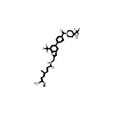 C=N\C(N)=C/C=C(C)/C=C/C(=O)NCc1cc2cc(-c3ccc(C(=O)N4CCC(O)(C(F)(F)F)CC4)cc3)cc(C(F)(F)F)c2o1